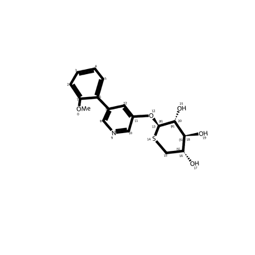 COc1ccccc1-c1cncc(O[C@@H]2SC[C@@H](O)[C@H](O)[C@H]2O)c1